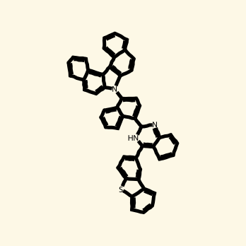 c1ccc2c(c1)=NC(c1ccc(-n3c4ccc5ccccc5c4c4c5ccccc5ccc43)c3ccccc13)NC=2c1ccc2sc3ccccc3c2c1